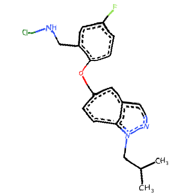 CC(C)Cn1ncc2cc(Oc3ccc(F)cc3CNCl)ccc21